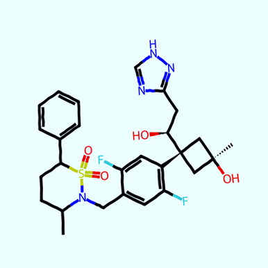 CC1CCC(c2ccccc2)S(=O)(=O)N1Cc1cc(F)c([C@]2([C@@H](O)Cc3nc[nH]n3)C[C@](C)(O)C2)cc1F